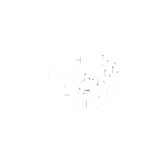 CC(C)(C)c1nc(C(Cl)(Cl)Cl)n(C(=O)n2cncn2)n1